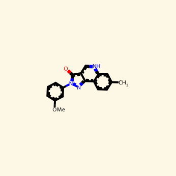 COc1cccc(-n2nc3c4ccc(C)cc4[nH]cc-3c2=O)c1